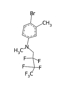 Cc1cc(N(C)CC(F)(F)C(F)(F)C(F)(F)F)ccc1Br